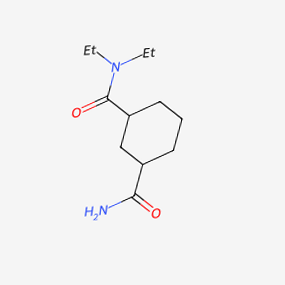 CCN(CC)C(=O)C1CCCC(C(N)=O)C1